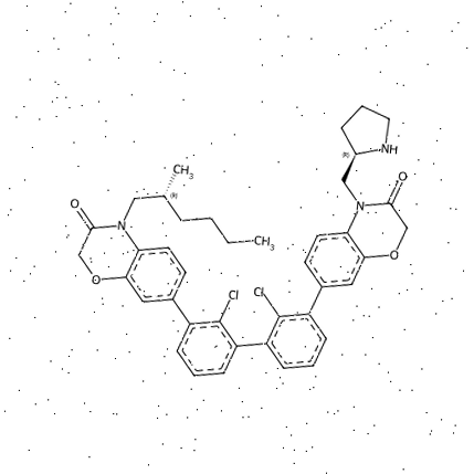 CCCC[C@@H](C)CN1C(=O)COc2cc(-c3cccc(-c4cccc(-c5ccc6c(c5)OCC(=O)N6C[C@H]5CCCN5)c4Cl)c3Cl)ccc21